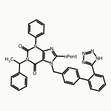 CCCCCc1nc2c(c(=O)n(C(C)c3ccccc3)c(=O)n2-c2ccccc2)n1Cc1ccc(-c2ccccc2-c2nnn[nH]2)cc1